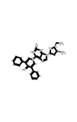 CC[C@@H]1O[C@@H](n2cnc3c(-n4cc(-c5ccccc5)c(=O)c(-c5ccccc5)c4)nc(Cl)nc32)C[C@@H]1C